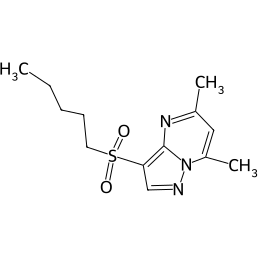 CCCCCS(=O)(=O)c1cnn2c(C)cc(C)nc12